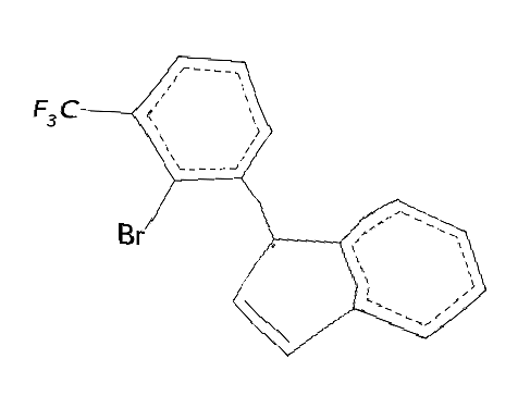 FC(F)(F)c1cccc([C]2C=Cc3ccccc32)c1Br